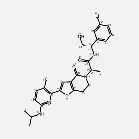 CC(C)Nc1ncc(Cl)c(-c2cc3c(o2)CCN([C@H](C)C(=O)N[C@H](CO)c2cccc(Cl)c2)C3=O)n1